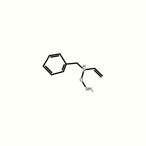 C=C[SiH](Cc1ccccc1)O[SiH3]